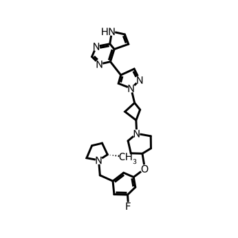 C[C@H]1CCCN1Cc1cc(F)cc(OC2CCN(C3CC(n4cc(-c5ncnc6[nH]ccc56)cn4)C3)CC2)c1